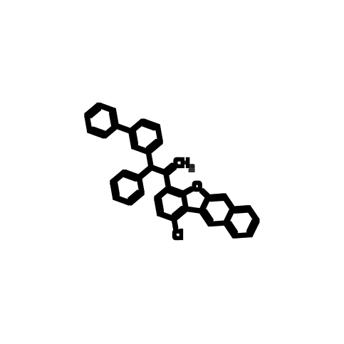 C=C(c1ccc(Cl)c2c1oc1cc3ccccc3cc12)C(c1ccccc1)c1cccc(-c2ccccc2)c1